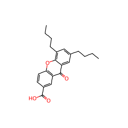 CCCCc1cc(CCCC)c2oc3ccc(C(=O)O)cc3c(=O)c2c1